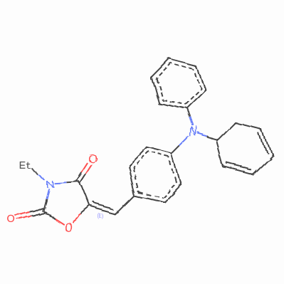 CCN1C(=O)O/C(=C/c2ccc(N(c3ccccc3)C3C=CC=CC3)cc2)C1=O